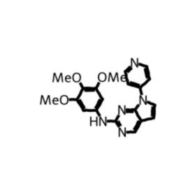 COc1cc(Nc2ncc3ccn(-c4ccncc4)c3n2)cc(OC)c1OC